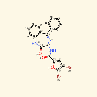 O=C(N[C@H]1N=C(c2ccccc2)c2ccccc2NC1=O)c1cc(Br)c(Br)o1